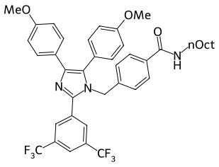 CCCCCCCCNC(=O)c1ccc(Cn2c(-c3cc(C(F)(F)F)cc(C(F)(F)F)c3)nc(-c3ccc(OC)cc3)c2-c2ccc(OC)cc2)cc1